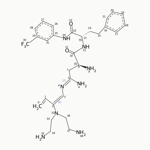 C=C/C(=C\N=C(/N)C[C@H](N)C(=O)N[C@@H](CCc1ccccc1)C(=O)Nc1cccc(C(F)(F)F)c1)N(CCN)CCN